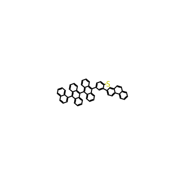 c1ccc2c(-c3c4ccccc4c(-c4c5ccccc5c(-c5ccc6sc7c(ccc8c9ccccc9ccc87)c6c5)c5ccccc45)c4ccccc34)cccc2c1